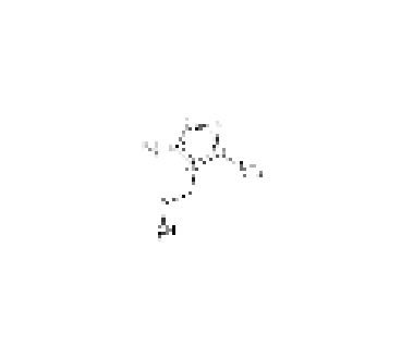 Cl.Nc1cccn1CCO